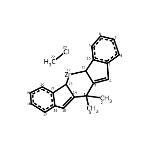 CC1(C)C2=Cc3ccccc3[CH]2[Zr][CH]2C1=Cc1ccccc12.CCl